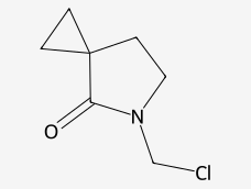 O=C1N(CCl)CCC12CC2